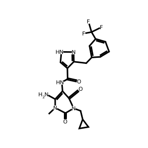 Cn1c(N)c(NC(=O)c2c[nH]nc2Cc2cccc(C(F)(F)F)c2)c(=O)n(CC2CC2)c1=O